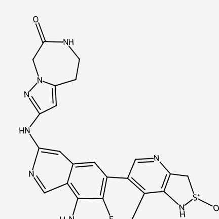 Cc1c(-c2cc3cc(Nc4cc5n(n4)CC(=O)NCC5)ncc3c(N)c2F)cnc2c1N[S+]([O-])C2